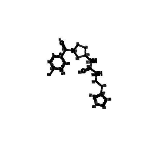 Cc1ccc(C(=O)N2CCC(NC(=O)NCCc3cccs3)C2)cn1